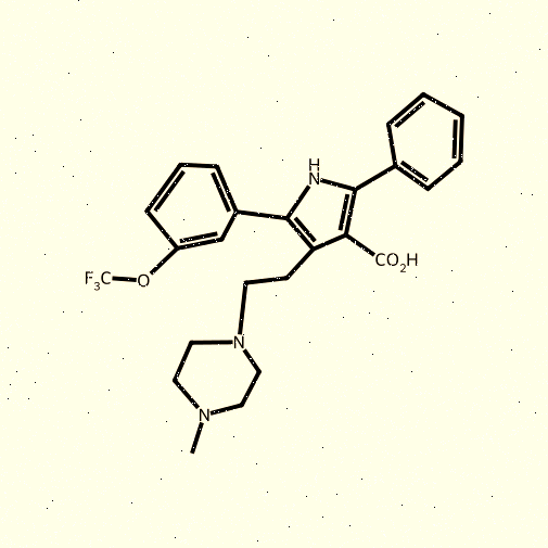 CN1CCN(CCc2c(-c3cccc(OC(F)(F)F)c3)[nH]c(-c3ccccc3)c2C(=O)O)CC1